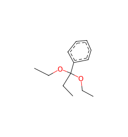 CCOC(CC)(OCC)c1ccccc1